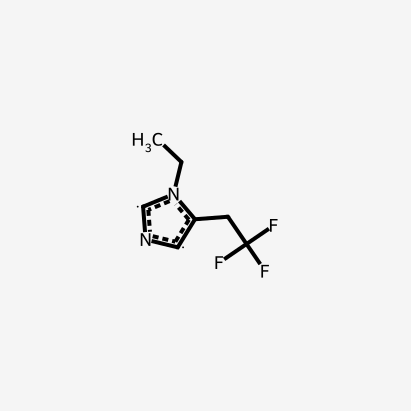 CCn1[c]n[c]c1CC(F)(F)F